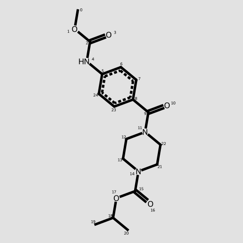 COC(=O)Nc1ccc(C(=O)N2CCN(C(=O)OC(C)C)CC2)cc1